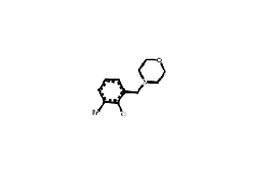 Clc1c(Br)cccc1CN1CCOCC1